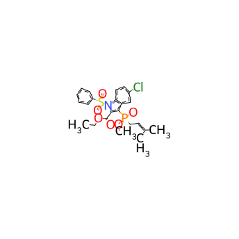 CCOC(=O)c1c(P(=O)(CC=C(C)C)OC)c2cc(Cl)ccc2n1S(=O)(=O)c1ccccc1